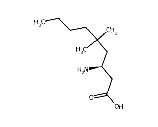 CCCCC(C)(C)C[C@H](N)CC(=O)O